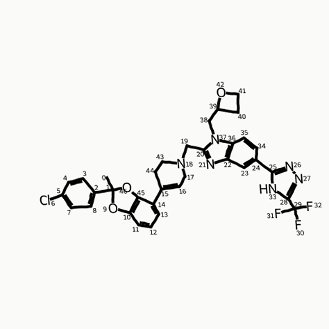 CC1(c2ccc(Cl)cc2)Oc2cccc(C3=CCN(Cc4nc5cc(-c6nnc(C(F)(F)F)[nH]6)ccc5n4CC4CCO4)CC3)c2O1